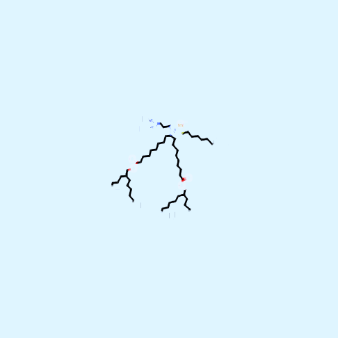 CCCCCCCC[S+]([O-])N(CCCN(C)C)C(CCCCCCCCC(=O)OCC(CCCC)CCCCCC)CCCCCCCCC(=O)OCC(CCCC)CCCCCC